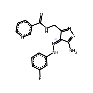 NC1=NN=C(CNC(=O)c2cccnc2)/C1=N/Nc1cccc(F)c1